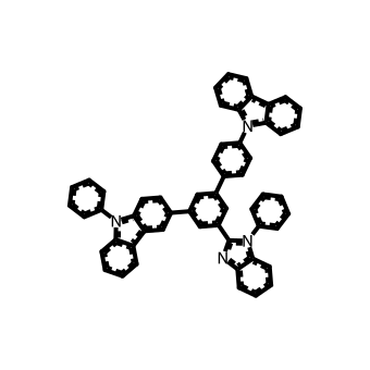 c1ccc(-n2c(-c3cc(-c4ccc(-n5c6ccccc6c6ccccc65)cc4)cc(-c4ccc5c(c4)c4ccccc4n5-c4ccccc4)c3)nc3ccccc32)cc1